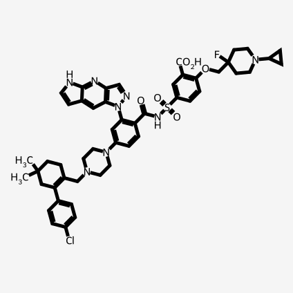 CC1(C)CCC(CN2CCN(c3ccc(C(=O)NS(=O)(=O)c4ccc(OCC5(F)CCN(C6CC6)CC5)c(C(=O)O)c4)c(-n4ncc5nc6[nH]ccc6cc54)c3)CC2)=C(c2ccc(Cl)cc2)C1